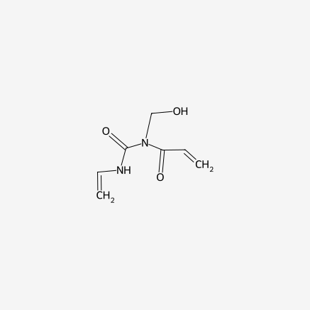 C=CNC(=O)N(CO)C(=O)C=C